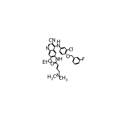 CCOc1cc2ncc(C#N)c(Nc3ccc(OCc4cccc(F)c4)c(Cl)c3)c2cc1NC(=O)C=CCN(C)C